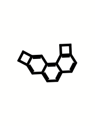 c1cc2ccc3cc4c(cc3c2c2c1CC2)CC4